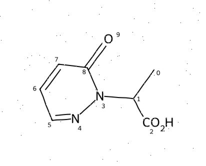 CC(C(=O)O)n1ncccc1=O